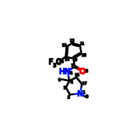 CN1CCC(C)(NC(=O)c2ccccc2C(F)(F)F)CC1